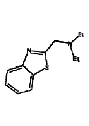 CCN(CC)Cc1nc2ccccc2s1